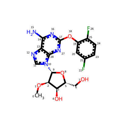 CO[C@@H]1[C@H](O)[C@@H](CO)O[C@H]1n1cnc2c(N)nc(Oc3cc(F)ccc3F)nc21